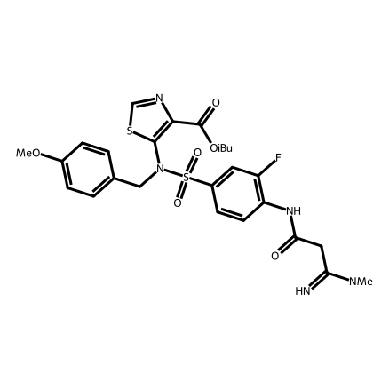 CNC(=N)CC(=O)Nc1ccc(S(=O)(=O)N(Cc2ccc(OC)cc2)c2scnc2C(=O)OCC(C)C)cc1F